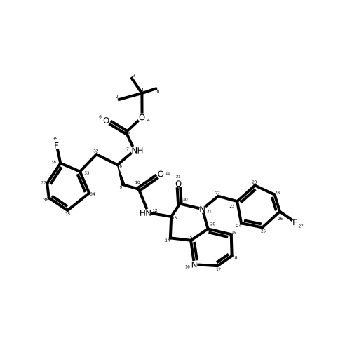 CC(C)(C)OC(=O)N[C@@H](CC(=O)NC1Cc2ncccc2N(Cc2ccc(F)cc2)C1=O)Cc1ccccc1F